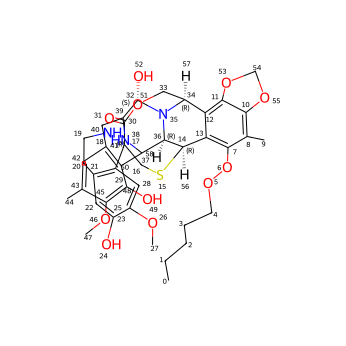 CCCCCOOc1c(C)c2c(c3c1[C@H]1SC[C@]4(NCCc5cc(O)c(OC)cc54)C(=O)OC[C@@H]3N3[C@@H]1C1NC(Cc4cc(C)c(OC)c(O)c41)[C@@H]3O)OCO2